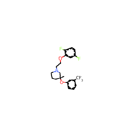 CC1(Oc2cccc(C(F)(F)F)c2)CCCN(CCOc2cc(F)ccc2F)C1